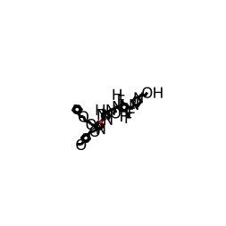 COc1ccc(COc2ncc(-c3ncc(NC(=O)Nc4cc(C(F)(F)F)c(CN5CCN(CCO)CC5)cc4F)c(C)n3)cc2OCCOCc2ccccc2)cc1